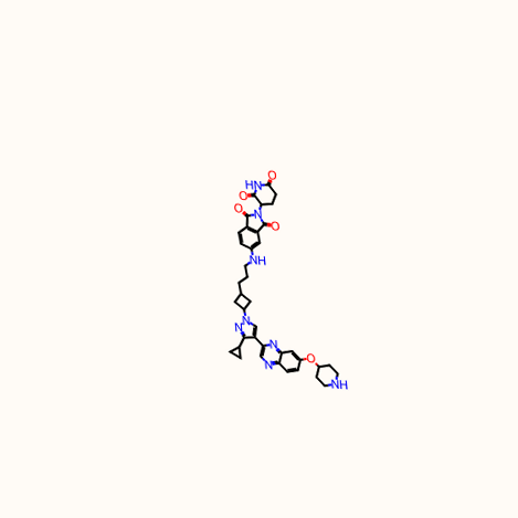 O=C1CCC(N2C(=O)c3ccc(NCCCC4CC(n5cc(-c6cnc7ccc(OC8CCNCC8)cc7n6)c(C6CC6)n5)C4)cc3C2=O)C(=O)N1